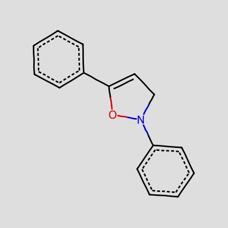 C1=C(c2ccccc2)ON(c2ccccc2)C1